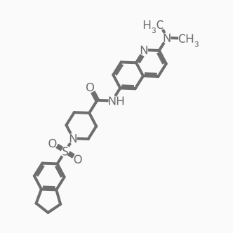 CN(C)c1ccc2cc(NC(=O)C3CCN(S(=O)(=O)c4ccc5c(c4)CCC5)CC3)ccc2n1